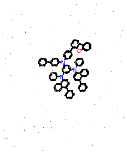 c1ccc(-c2ccc(N(c3ccc(-c4cccc5c4oc4ccccc45)cc3)c3cc(N(c4ccccc4)c4ccc(-c5ccccc5)c5ccccc45)cc(N(c4ccccc4)c4ccc(-c5ccccc5)c5ccccc45)c3)cc2)cc1